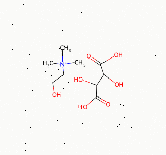 C[N+](C)(C)CCO.O=C(O)C(O)C(O)C(=O)O